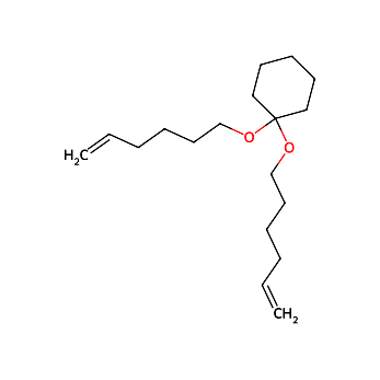 C=CCCCCOC1(OCCCCC=C)CCCCC1